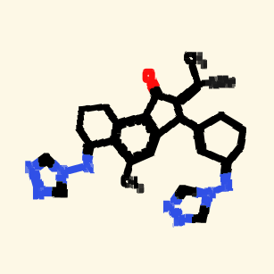 CNC(C)=C1C(=O)c2c(cc(C)c3c2CCCC3=Nn2cnnc2)C1C1=CC(=Nn2cnnc2)CCC1